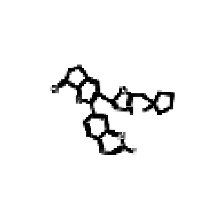 CC1(Cc2ncc(-c3cc4c(nc3-c3ccc5ccc(F)nc5c3)C(=O)CC4)o2)CCCC1